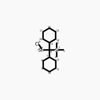 C[Si](C)(C)[C]([Sn][Cl])(C1CCCCC1)C1CCCCC1